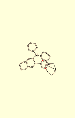 c1ccc(N(c2ccccc2)c2cc3ccccc3cc2-c2ccc3c(c2)C2CC4CC(CC3C4)C2)cc1